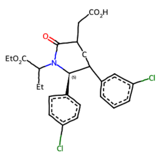 CCOC(=O)C(CC)N1C(=O)C(CC(=O)O)CC(c2cccc(Cl)c2)[C@H]1c1ccc(Cl)cc1